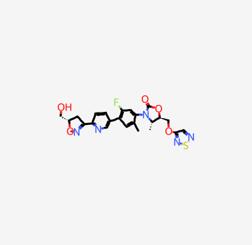 Cc1cc(-c2ccc(C3=NO[C@H](CO)C3)nc2)c(F)cc1N1C(=O)O[C@@H](COc2cnsn2)[C@@H]1C